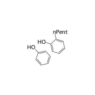 CCCCCc1ccccc1O.Oc1ccccc1